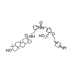 CC(C)N1CCN(CCCOc2ccc(CNC(=O)c3cccc(CCNC(=O)C45CCCC4C4CCC6C(C)(CCC7C(C)(C)C(O)CCC76C)C4CC5)c3)cc2C(=O)O)CC1